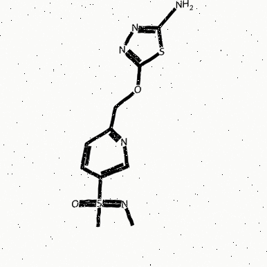 CN=S(C)(=O)c1ccc(COc2nnc(N)s2)nc1